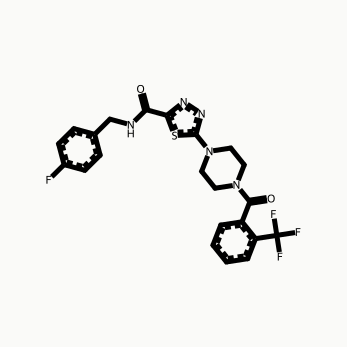 O=C(NCc1ccc(F)cc1)c1nnc(N2CCN(C(=O)c3ccccc3C(F)(F)F)CC2)s1